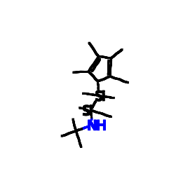 CC1=C(C)C([Si](C)(C)[Si](C)(C)NC(C)(C)C)C(C)=C1C